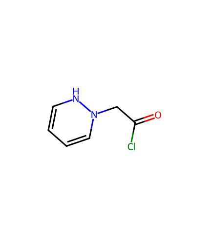 O=C(Cl)CN1C=CC=CN1